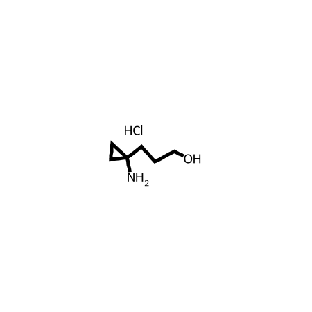 Cl.NC1(CCCO)CC1